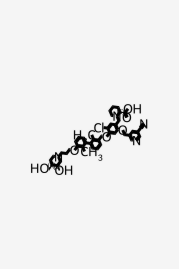 Cc1c(COc2cc(OCc3cncc(C#N)c3)c(CN3CCCC[C@H]3C(=O)O)cc2Cl)cccc1-c1cccc(OCCCN2CC[C@H](CO)[C@H](O)C2)c1C